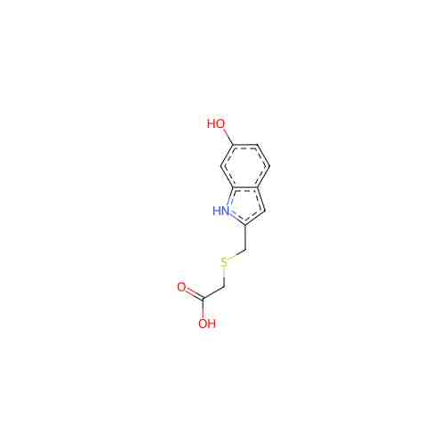 O=C(O)CSCc1cc2ccc(O)cc2[nH]1